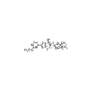 CSc1nccc(-c2cc3c(s2)CCN(CC(=O)OC(C)(C)C)C3=O)n1